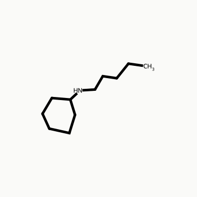 CCCCCNC1CCCCC1